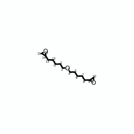 C(CCOCCCCCC1CO1)CCC1CO1